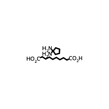 NC1(N)CCCC1.O=C(O)CCCCCCCCC(=O)O